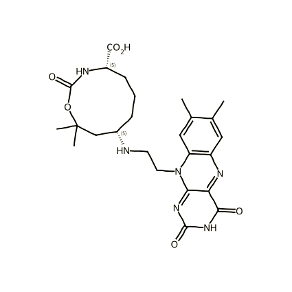 Cc1cc2nc3c(=O)[nH]c(=O)nc-3n(CCN[C@H]3CCC[C@@H](C(=O)O)NC(=O)OC(C)(C)C3)c2cc1C